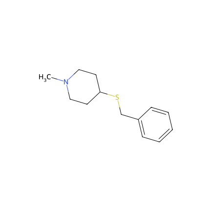 CN1CCC(SCc2ccccc2)CC1